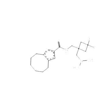 CN(C)CC1(CNC(=O)c2cc3c(s2)CCCCCC3)CC(F)(F)C1